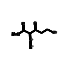 COC(=O)C(=[N+]=[N-])C(=O)CCC(C)C